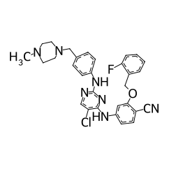 CN1CCN(Cc2ccc(Nc3ncc(Cl)c(Nc4ccc(C#N)c(OCc5ccccc5F)c4)n3)cc2)CC1